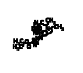 CCC(C)OC(=O)c1nnc(N=Nc2cc3c(cc2NS(=O)(=O)C(F)(F)F)N(C(CC)CC)C(CC)CC3)s1